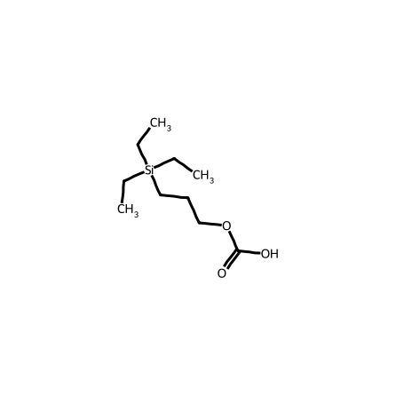 CC[Si](CC)(CC)CCCOC(=O)O